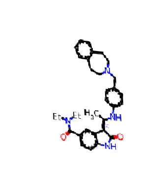 CCN(CC)C(=O)c1ccc2c(c1)/C(=C(\C)Nc1ccc(CN3CCc4ccccc4CC3)cc1)C(=O)N2